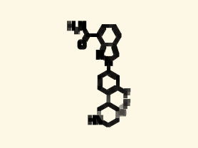 NC(=O)c1cccc2cn(-c3ccc(C4CNCC[C@H]4F)c(F)c3)nc12